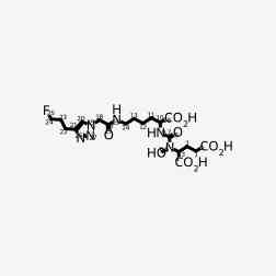 O=C(O)CCC(C(=O)O)N(O)C(=O)NC(CCCCNC(=O)Cn1cc(CCCF)nn1)C(=O)O